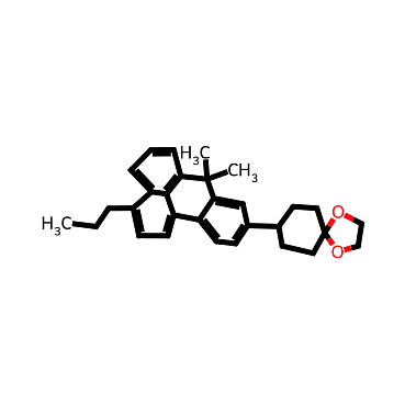 CCCc1ccc2c3c(cccc13)C(C)(C)c1cc(C3CCC4(CC3)OCCO4)ccc1-2